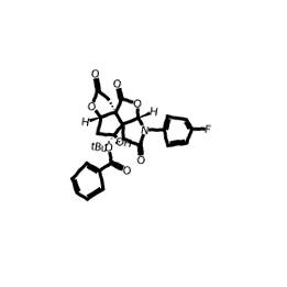 CC(C)(C)[C@]1(O)C[C@@H]2OC(=O)C[C@@]23C(=O)O[C@@H]2N(c4ccc(F)cc4)C(=O)[C@H](OC(=O)c4ccccc4)C213